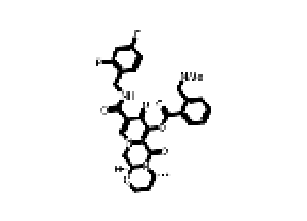 CNCc1ccccc1C(=O)Oc1c2n(cc(C(=O)NCc3ccc(F)cc3F)c1=O)C[C@@H]1OCC[C@@H](C)N1C2=O